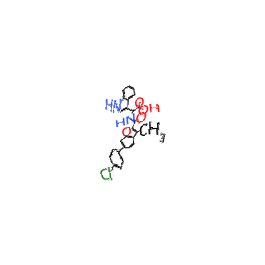 Cc1c(C(=O)NC(C(=O)O)c2c[nH]c3ccccc23)oc2cc(-c3ccc(Cl)cc3)ccc12